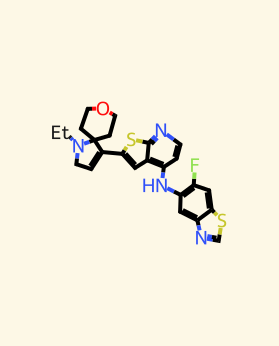 CCN1CC=C(c2cc3c(Nc4cc5ncsc5cc4F)ccnc3s2)C12CCOCC2